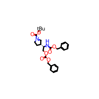 CC(C)(C)OC(=O)N1CC[C@@H](C(COC(=O)OCc2ccccc2)NC(=O)OCc2ccccc2)C1